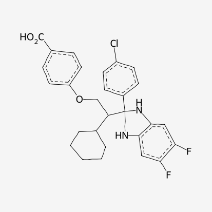 O=C(O)c1ccc(OCC(C2CCCCC2)C2(c3ccc(Cl)cc3)Nc3cc(F)c(F)cc3N2)cc1